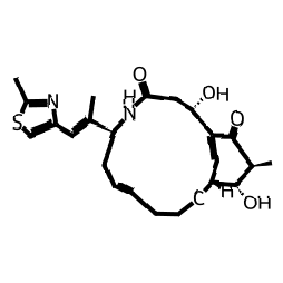 C/C(=C\c1csc(C)n1)[C@@H]1C/C=C\CCC[C@@H]2C=C(C(=O)[C@@H](C)[C@@H]2O)[C@@H](O)CC(=O)N1